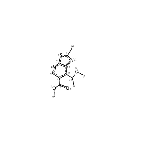 COC(=O)c1cnc2sc(C)nc2c1C(C)OC